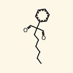 CCCCCCC(C=O)(C=O)c1ccccc1